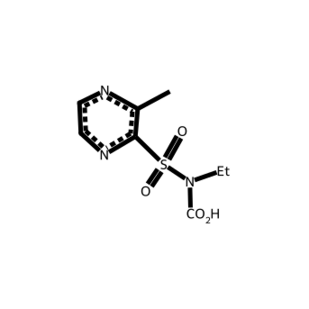 CCN(C(=O)O)S(=O)(=O)c1nccnc1C